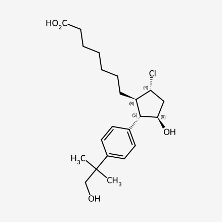 CC(C)(CO)c1ccc([C@@H]2[C@@H](CCCCCCC(=O)O)[C@H](Cl)C[C@H]2O)cc1